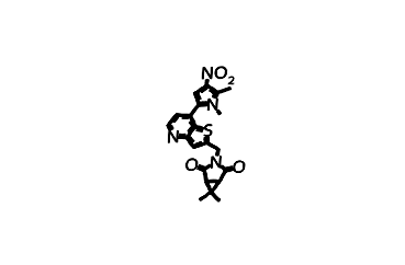 Cc1c([N+](=O)[O-])cc(-c2ccnc3cc(CN4C(=O)C5C(C4=O)C5(C)C)sc23)n1C